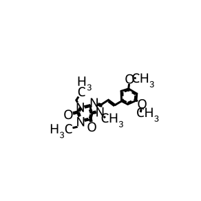 CCn1c(=O)c2c(nc(C=Cc3cc(OC)cc(OC)c3)n2C)n(CC)c1=O